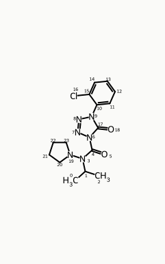 CC(C)N(C(=O)n1nnn(-c2ccccc2Cl)c1=O)N1CCCC1